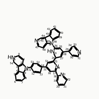 C1=Cc2c(c3ccccc3n2-c2ccc(-c3cc(-c4ccccn4)nc(C4C=C(c5ccncc5)C=C(n5c6ccccc6c6cnccc65)N4)c3)cc2)CN1